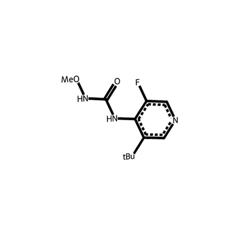 CONC(=O)Nc1c(F)cncc1C(C)(C)C